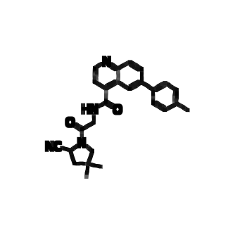 Cc1ccc(-c2ccc3nccc(C(=O)NCC(=O)N4CC(C)(C)CC4C#N)c3c2)cc1